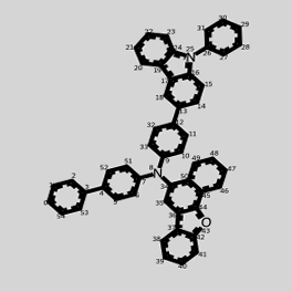 c1ccc(-c2ccc(N(c3ccc(-c4ccc5c(c4)c4ccccc4n5-c4ccccc4)cc3)c3cc4c5ccccc5oc4c4ccccc34)cc2)cc1